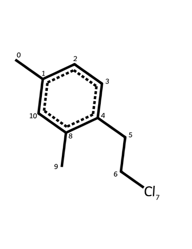 Cc1ccc(CCCl)c(C)c1